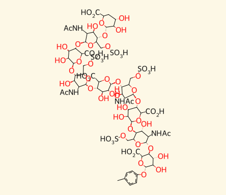 CC(=O)NC1[C@H](O[C@@H]2C(C(=O)O)O[C@@H](Oc3ccc(C)cc3)C(O)[C@H]2O)OC(COS(=O)(=O)O)[C@@H](O[C@@H]2OC(C(=O)O)[C@@H](O[C@@H]3OC(COS(=O)(=O)O)[C@@H](O[C@@H]4OC(C(=O)O)[C@@H](O[C@@H]5OC(COS(=O)(=O)O)[C@@H](O[C@@H]6OC(C(=O)O)[C@@H](O[C@@H]7OC(COS(=O)(=O)O)[C@@H](O[C@@H]8OC(C(=O)O)C[C@H](O)C8O)[C@H](O)C7NC(C)=O)[C@H](O)C6O)[C@H](O)C5NC(C)=O)[C@H](O)C4O)[C@H](O)C3NC(C)=O)[C@H](O)C2O)[C@@H]1O